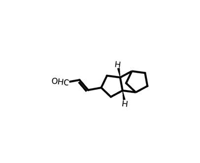 O=CC=CC1C[C@@H]2C3CCC(C3)[C@@H]2C1